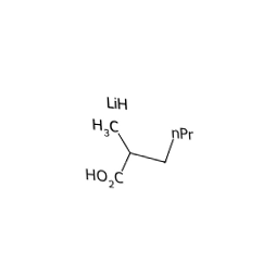 CCCCC(C)C(=O)O.[LiH]